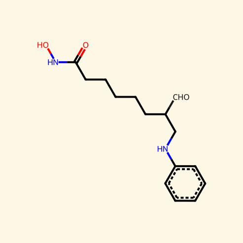 O=CC(CCCCCC(=O)NO)CNc1ccccc1